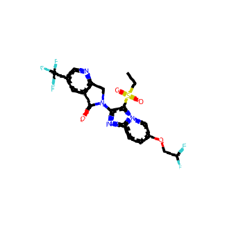 CCS(=O)(=O)c1c(N2Cc3ncc(C(F)(F)F)cc3C2=O)nc2ccc(OCC(F)F)cn12